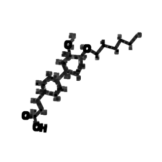 CCCCCCOc1ccc(-c2ccc(/C=C/C(=O)O)cc2)cc1OC